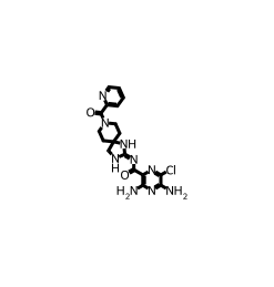 Nc1nc(N)c(C(=O)/N=C2\NCC3(CCN(C(=O)c4ccccn4)CC3)N2)nc1Cl